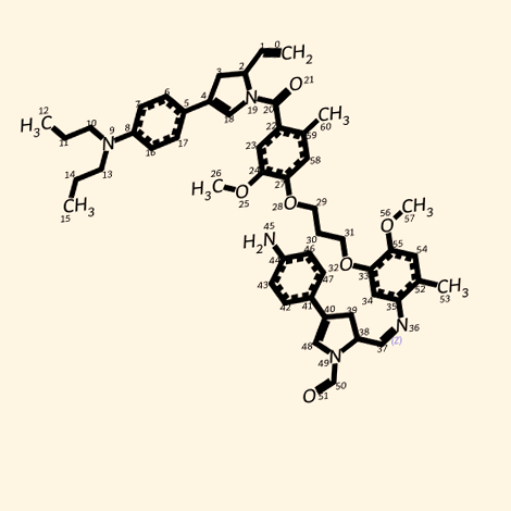 C=CC1CC(c2ccc(N(CCC)CCC)cc2)=CN1C(=O)c1cc(OC)c(OCCCOc2cc(/N=C\C3CC(c4ccc(N)cc4)=CN3C=O)c(C)cc2OC)cc1C